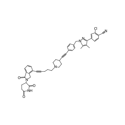 Cc1c(-c2ccc(C#N)c(Cl)c2)nn(Cc2ccc(C#CC3CCN(CCCC#Cc4cccc5c4CN(C4CCC(=O)NC4=O)C5=O)CC3)cc2)c1C